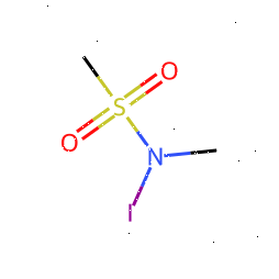 CN(I)S(C)(=O)=O